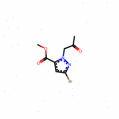 COC(=O)c1cc(Br)nn1CC(C)=O